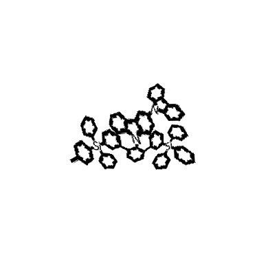 Cc1ccc([Si](c2ccccc2)(c2ccccc2)c2cccc(-c3cccc(-c4cccc([Si](c5ccccc5)(c5ccccc5)c5ccccc5)c4)c3-n3c4ccccc4c4cc(-n5c6ccccc6c6ccccc65)ccc43)c2)cc1